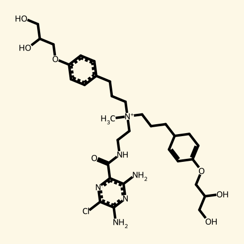 C[N+](CCCc1ccc(OCC(O)CO)cc1)(CCCC1C=CC(OCC(O)CO)=CC1)CCNC(=O)c1nc(Cl)c(N)nc1N